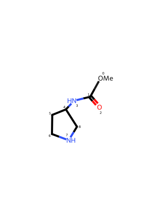 COC(=O)NC1CCNC1